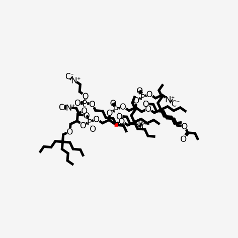 [C-]#[N+]CCOP(=O)(OCCCCCCC)OCC(COCC(CCCC)(CCCC)CCCC)OP(=O)(OCC[N+]#[C-])OCC(COCC(CCCC)(CCCC)CCCC)OP(=O)(OCC[N+]#[C-])OCC(COCC(CCCC)(CCCC)CCCC)OP(=O)(OCCCCCCOC(=O)CC)OCC[N+]#[C-]